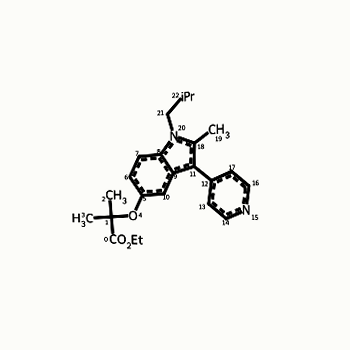 CCOC(=O)C(C)(C)Oc1ccc2c(c1)c(-c1ccncc1)c(C)n2CC(C)C